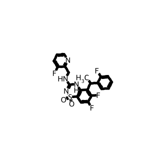 CC(c1ccccc1F)c1c(F)c(F)cc2c1NC(NCc1ncccc1F)=NS2(=O)=O